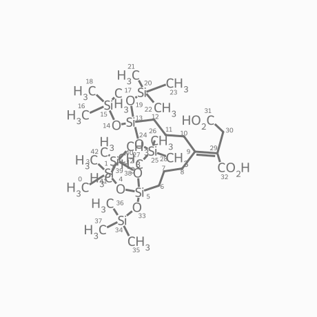 C[Si](C)(C)O[Si](CCCC(CCC[Si](O[Si](C)(C)C)(O[Si](C)(C)C)O[Si](C)(C)C)=C(CC(=O)O)C(=O)O)(O[Si](C)(C)C)O[Si](C)(C)C